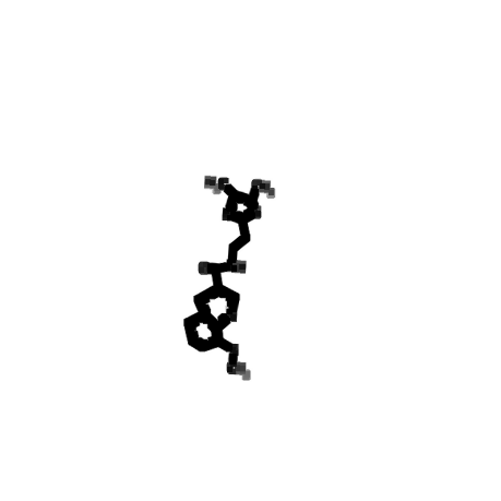 CSc1cccc2cc(C(=O)NCCc3nc(C)c(C)s3)cnc12